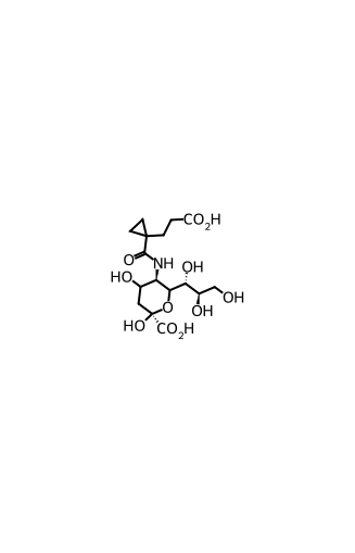 O=C(O)CCC1(C(=O)N[C@@H]2C(O)C[C@@](O)(C(=O)O)OC2[C@H](O)[C@H](O)CO)CC1